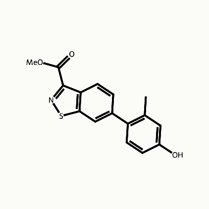 COC(=O)c1nsc2cc(-c3ccc(O)cc3C)ccc12